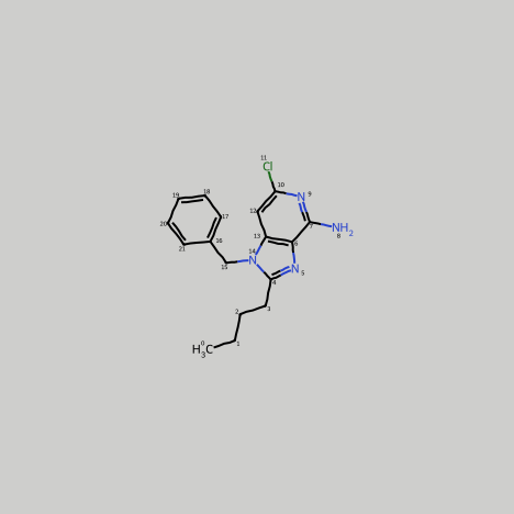 CCCCc1nc2c(N)nc(Cl)cc2n1Cc1ccccc1